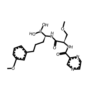 COC[C@@H](NC(=O)c1cnccn1)C(=O)N[C@@H](CCCc1cccc(OC)c1)B(O)O